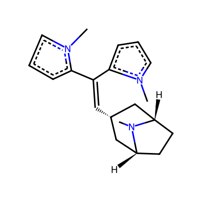 CN1[C@@H]2CC[C@H]1C[C@@H](C=C(c1cccn1C)c1cccn1C)C2